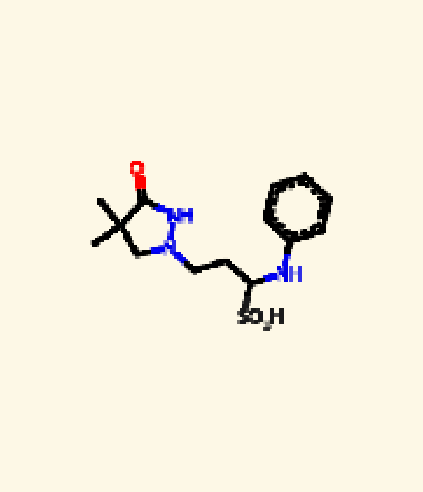 CC1(C)CN(CCC(Nc2ccccc2)S(=O)(=O)O)NC1=O